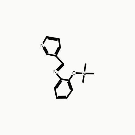 C[Si](C)(C)Oc1ccccc1/N=C/c1cccnc1